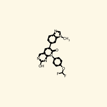 Cn1cnc2ccc(-c3cc4cnc(O)nc4n(-c4ccc(OC(F)F)cc4)c3=O)cc21